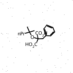 CCCC(C)(C)OC(Cc1ccccc1)(C(=O)O)C(=O)O